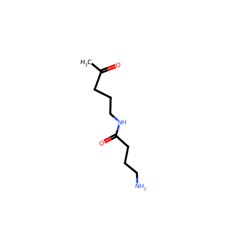 CC(=O)CCCNC(=O)CCCN